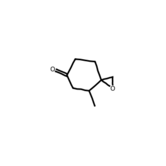 CC1CC(=O)CCC12CO2